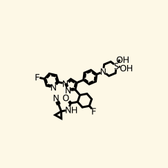 N#CC1(NC(=O)C2CC(F)CCC2c2nn(-c3ccc(F)cn3)cc2-c2ccc(N3CCS(O)(O)CC3)cc2)CC1